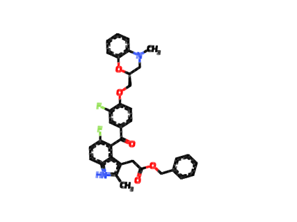 Cc1[nH]c2ccc(F)c(C(=O)c3ccc(OC[C@@H]4CN(C)c5ccccc5O4)c(F)c3)c2c1CC(=O)OCc1ccccc1